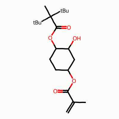 C=C(C)C(=O)OC1CCC(OC(=O)C(C)(C(C)(C)C)C(C)(C)C)C(O)C1